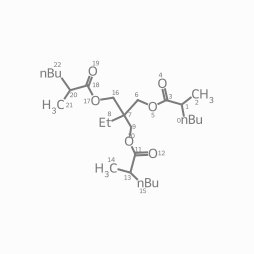 CCCCC(C)C(=O)OCC(CC)(COC(=O)C(C)CCCC)COC(=O)C(C)CCCC